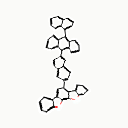 c1ccc2c(-c3c4ccccc4c(-c4ccc5cc(-c6cc7c8ccccc8oc7c7oc8ccccc8c67)ccc5c4)c4ccccc34)cccc2c1